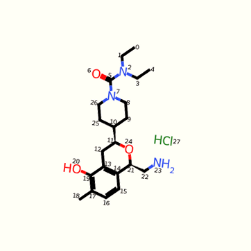 CCN(CC)C(=O)N1CCC([C@@H]2Cc3c(ccc(C)c3O)[C@H](CN)O2)CC1.Cl